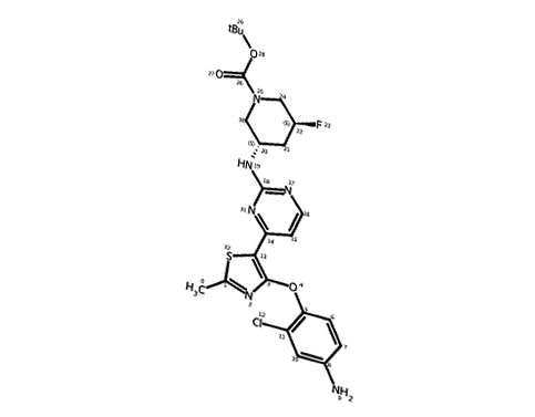 Cc1nc(Oc2ccc(N)cc2Cl)c(-c2ccnc(N[C@H]3C[C@H](F)CN(C(=O)OC(C)(C)C)C3)n2)s1